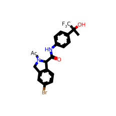 CC(=O)N1Cc2cc(Br)ccc2C1C(=O)Nc1ccc(C(C)(O)C(F)(F)F)cc1